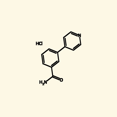 Cl.NC(=O)c1cccc(-c2ccncc2)c1